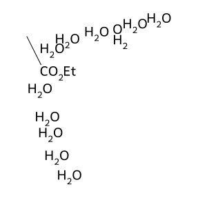 CCOC(C)=O.O.O.O.O.O.O.O.O.O.O.O